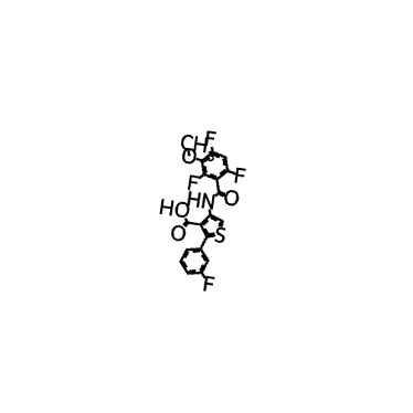 COc1c(F)cc(F)c(C(=O)Nc2csc(-c3cccc(F)c3)c2C(=O)O)c1F